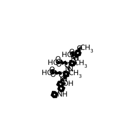 COc1ccc(N=Nc2cc(OCCCS(=O)(=O)O)c(N=Nc3cc(OCCCS(=O)(=O)O)c(N=Nc4ccc5cc(Nc6ccccc6)ccc5c4O)cc3C)cc2C)c(S(=O)(=O)O)c1